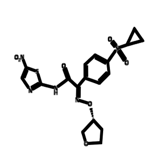 O=C(Nc1ncc([N+](=O)[O-])s1)/C(=N/O[C@@H]1CCOC1)c1ccc(S(=O)(=O)C2CC2)cc1